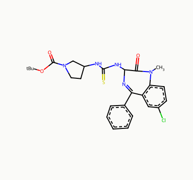 CN1C(=O)C(NC(=S)NC2CCN(C(=O)OC(C)(C)C)C2)N=C(c2ccccc2)c2cc(Cl)ccc21